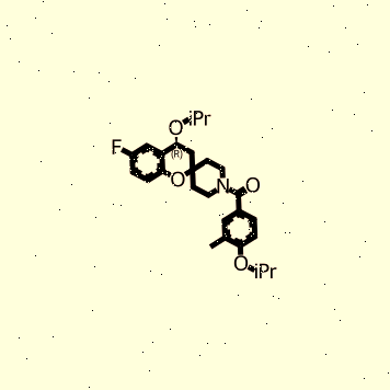 Cc1cc(C(=O)N2CCC3(CC2)C[C@@H](OC(C)C)c2cc(F)ccc2O3)ccc1OC(C)C